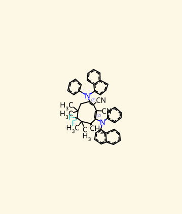 C=C1/C(N(c2ccccc2)c2cccc3ccccc23)=C(C#N)\C(C#N)=C(\N(c2ccccc2)c2cccc3ccccc23)CC(C)(C)C(F)(F)C1(C)C